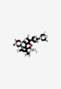 C[C@H]1CN(c2ncc(-c3c(F)cc(N4CCN(C)[C@@H](C)C4)c(-c4c(C(N)=O)c(C(F)(F)F)cc(=O)n4C)c3F)cn2)C[C@H](C)O1